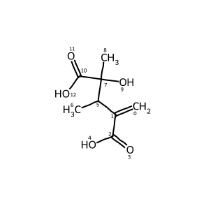 C=C(C(=O)O)C(C)C(C)(O)C(=O)O